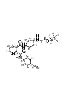 CC(C)(C)[Si](C)(C)OCCNc1ccc(NC(=O)c2nccnc2C(=O)Nc2ccc(C#N)cc2)cc1